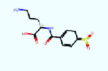 NCCC[C@H](NC(=O)C1=CCC(=S(=O)=O)C=C1)C(=O)O